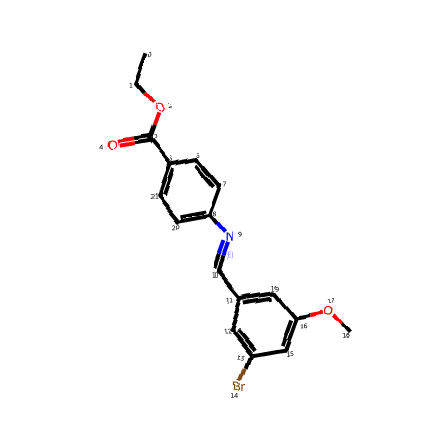 CCOC(=O)c1ccc(/N=C/c2cc(Br)cc(OC)c2)cc1